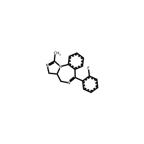 CC1=NCC2CN=C(c3ccccc3F)c3ccccc3N12